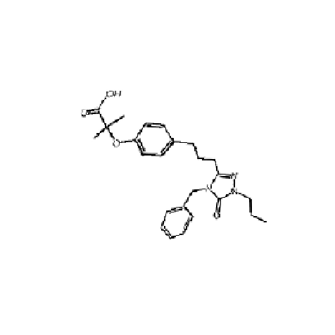 CCCn1nc(CCCc2ccc(OC(C)(C)C(=O)O)cc2)n(Cc2ccccc2)c1=O